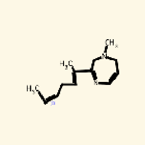 C/C=C\CC=C(C)C1=NC=CCN(C)C1